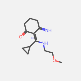 COCCN/C(=C1\C(=N)CCCC1=O)C1CC1